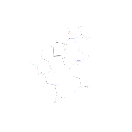 CCC(N)CCN(C(=O)c1cc(C(=O)NC(CC)CC)ccc1-c1cc(C(=O)NC2CC2)cc(F)c1C)c1nccs1